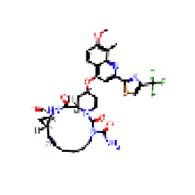 COc1ccc2c(O[C@H]3CCN4C(=O)N(C(N)=O)CCCC/C=C\[C@@H]5C[C@@]5([C]=O)NC(=O)[C@@H]4C3)cc(-c3nc(C(F)(F)F)cs3)nc2c1C